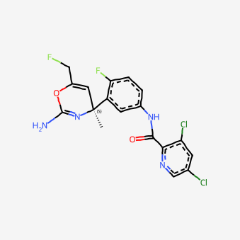 C[C@@]1(c2cc(NC(=O)c3ncc(Cl)cc3Cl)ccc2F)C=C(CF)OC(N)=N1